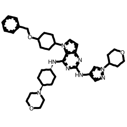 c1ccc(COC2CCC(n3ccc4nc(Nc5cnn(C6CCOCC6)c5)nc(N[C@H]5CC[C@H](N6CCOCC6)CC5)c43)CC2)cc1